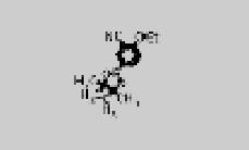 CCOc1ccc(B2OC(C)(C)C(C)(C)O2)cc1C#N